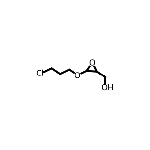 OCC1OC1OCCCCl